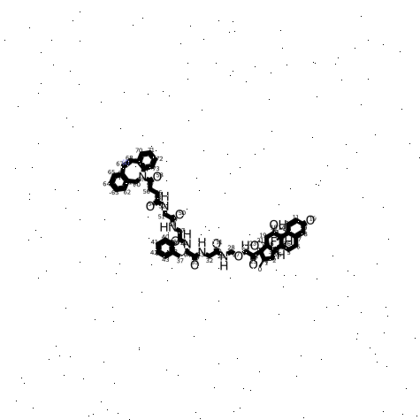 C[C@@H]1C[C@H]2[C@@H]3CCC4=CC(=O)C=C[C@]4(C)[C@@]3(F)[C@@H](O)C[C@]2(C)[C@@]1(O)C(=O)COCNC(=O)CNC(=O)[C@H](Cc1ccccc1)NC(=O)CNC(=O)CNC(=O)CCC(=O)N1Cc2ccccc2/C=C\c2ccccc21